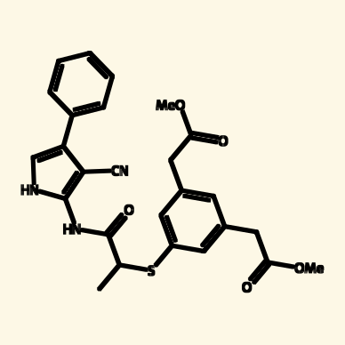 COC(=O)Cc1cc(CC(=O)OC)cc(SC(C)C(=O)Nc2[nH]cc(-c3ccccc3)c2C#N)c1